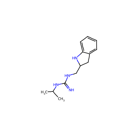 CC(C)NC(=N)NCC1Cc2ccccc2N1